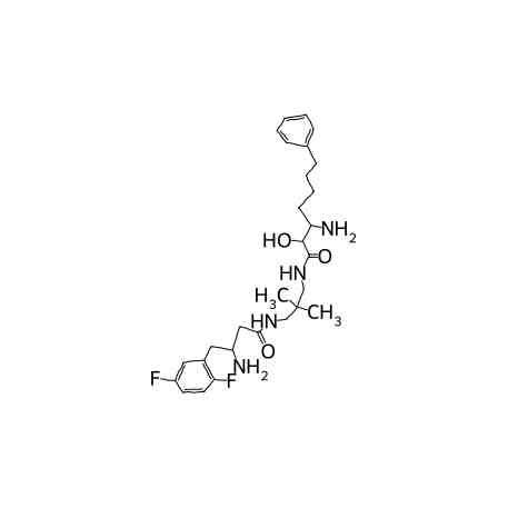 CC(C)(CNC(=O)CC(N)Cc1cc(F)ccc1F)CNC(=O)C(O)C(N)CCCCc1ccccc1